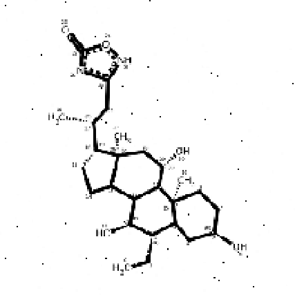 CC[C@@H]1C2C[C@H](O)CC[C@]2(C)C2C(C3CC[C@H]([C@H](C)Cc4nc(=O)o[nH]4)[C@@]3(C)C[C@@H]2O)[C@@H]1O